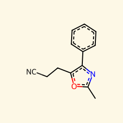 Cc1nc(-c2ccccc2)c(CCC#N)o1